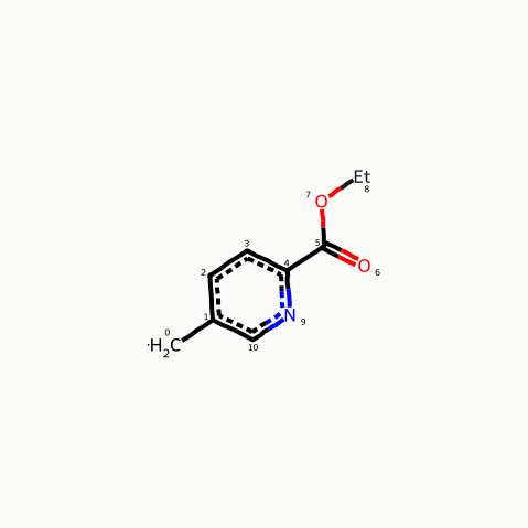 [CH2]c1ccc(C(=O)OCC)nc1